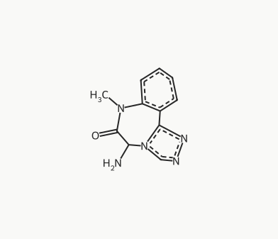 CN1C(=O)C(N)n2cnnc2-c2ccccc21